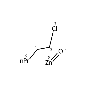 CCCCCCl.[O]=[Zn]